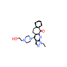 CCn1ncc2c(N3CCN(CCO)CC3)c3c(nc21)C(=O)c1ccccc1CC3